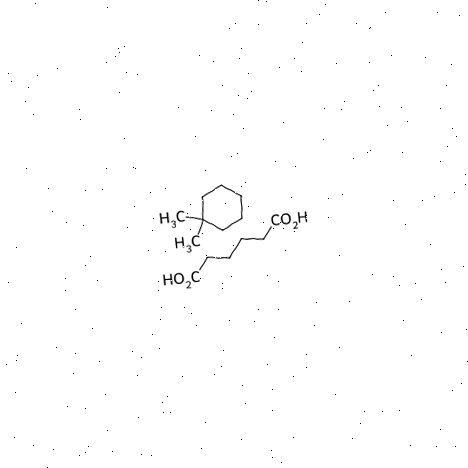 CC1(C)CCCCC1.O=C(O)CCCCC(=O)O